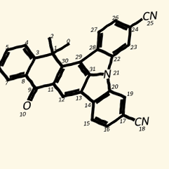 CC1(C)c2ccccc2C(=O)c2cc3c4ccc(C#N)cc4n4c5cc(C#N)ccc5c(c21)c34